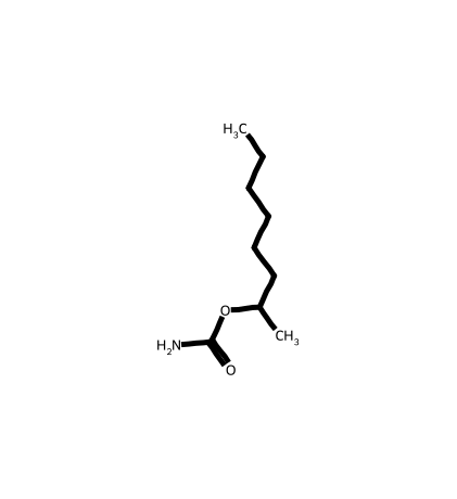 CCCCCCC(C)OC(N)=O